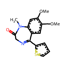 COc1cc2c(cc1OC)N(C)C(=O)CN=C2c1cccs1